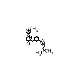 CC(C)CCn1cnc(-c2cccc(Cc3nn(-c4cnn(C)c4)ccc3=O)c2)n1